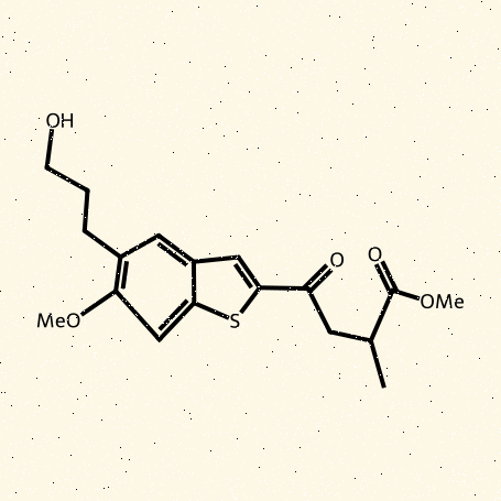 COC(=O)C(C)CC(=O)c1cc2cc(CCCO)c(OC)cc2s1